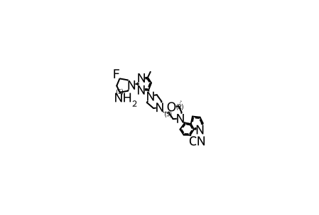 Cc1cc(N2CCN(C[C@H]3CN(c4ccc(C#N)c5ncccc45)C[C@@H](C)O3)CC2)nc(N2CC(F)C[C@H](N)C2)n1